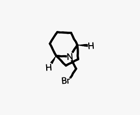 BrCN1[C@@H]2CCC[C@H]1CC2